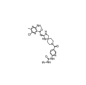 Cc1nc(N)c(C(=O)/N=C2\NCC3(CCN(C(=O)c4ccc(NC(=O)NC(C)C)nc4)CC3)N2)nc1Cl